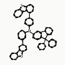 c1ccc(C2(c3ccccc3)c3ccccc3-c3cc(N(c4ccc(-c5cccc6sc7ccccc7c56)cc4)c4cccc(-c5ccc6oc7ccccc7c6c5)c4)ccc32)cc1